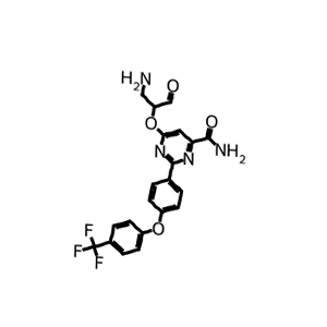 NCC(C=O)Oc1cc(C(N)=O)nc(-c2ccc(Oc3ccc(C(F)(F)F)cc3)cc2)n1